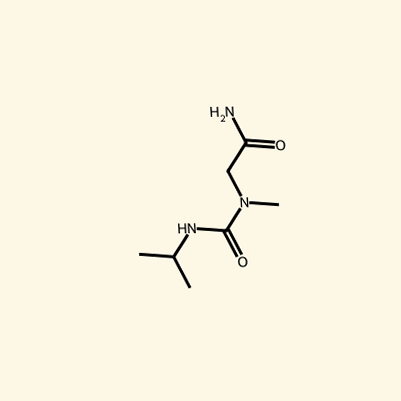 CC(C)NC(=O)N(C)CC(N)=O